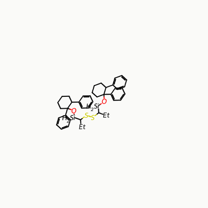 CCC([SiH2]OC1(c2ccccc2)CCCCC1c1ccccc1)SSC(CC)[SiH2]OC1(c2ccccc2)CCCCC1c1ccccc1